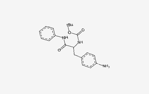 CC(C)(C)OC(=O)NC(Cc1ccc(N)cc1)C(=O)Nc1ccccc1